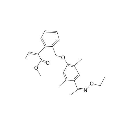 CC=C(C(=O)OC)c1ccccc1COc1cc(C)c(/C(C)=N\OCC)cc1C